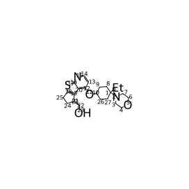 CC[C@]1(N2CCOCC2)CC[C@H](Oc2ccnc3sc4c(c23)[C@@H](CO)CC4)CC1